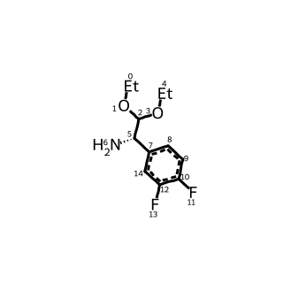 CCOC(OCC)[C@@H](N)c1ccc(F)c(F)c1